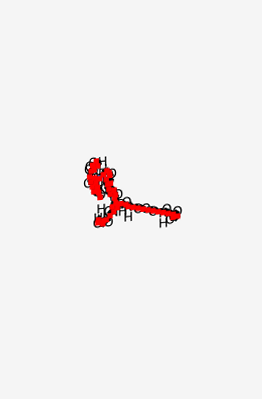 COc1ccc(C[C@@H](NC(=O)/C=C/CC[C@H](C)[C@H]2O[C@@H]2c2ccc(CN3CCN(C(=O)OCc4ccc(NC(=O)CNC(=O)C(NC(C)=O)C(C)C)cc4OCC(=O)NCCCOCCOCCOCCCNC(=O)CCN4C(=O)C=CC4=O)CC3)cc2)C(=O)NCC(C)(C)C(=O)N[C@@H](CC(C)C)C(=O)O)cc1Cl